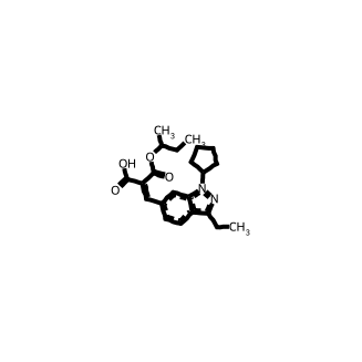 CCc1nn(C2CCCC2)c2cc(C=C(C(=O)O)C(=O)OC(C)CC)ccc12